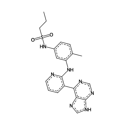 CCCS(=O)(=O)Nc1ccc(C)c(Nc2ncccc2-c2ncnc3[nH]cnc23)c1